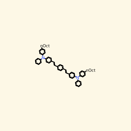 CCCCCCCCc1ccc(N(c2ccccc2)c2ccc(/C=C/c3ccc(/C=C/c4ccc(N(c5ccccc5)c5ccc(CCCCCCCC)cc5)cc4)cc3)cc2)cc1